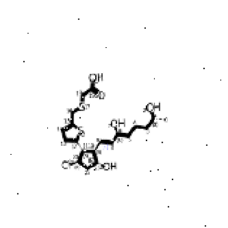 C[C@@H](O)CCC[C@H](O)/C=C/[C@@H]1[C@@H](c2ccc(CSCC(=O)O)s2)[C@H](Cl)C[C@H]1O